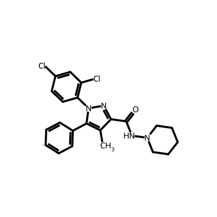 Cc1c(C(=O)NN2CCCCC2)nn(-c2ccc(Cl)cc2Cl)c1-c1cc[c]cc1